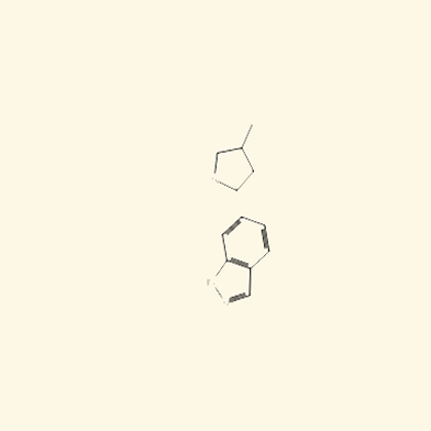 CC1CN[C@@H](c2ccc3cn[nH]c3c2)C1